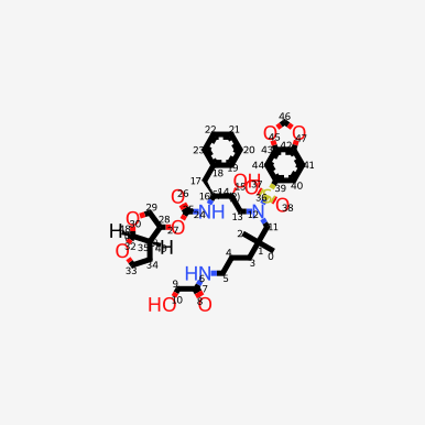 CC(C)(CCCNC(=O)CO)CN(C[C@@H](O)[C@H](Cc1ccccc1)NC(=O)OC1CO[C@H]2OCC[C@@H]12)S(=O)(=O)c1ccc2c(c1)OCO2